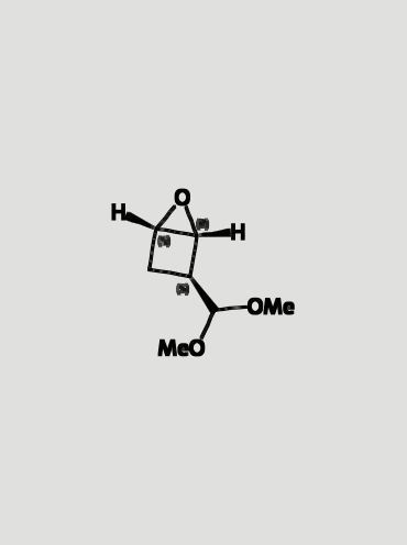 COC(OC)[C@H]1C[C@@H]2O[C@@H]21